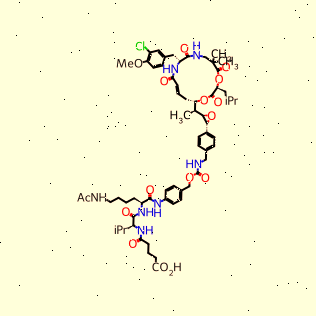 COc1ccc(C[C@H]2NC(=O)/C=C/C[C@@H]([C@H](C)[C@H]3O[C@@H]3c3ccc(CNC(=O)OCc4ccc(NC(=O)[C@H](CCCCNC(C)=O)NC(=O)[C@@H](NC(=O)CCCC(=O)O)C(C)C)cc4)cc3)OC(=O)[C@H](CC(C)C)OC(=O)C(C)(C)CNC2=O)cc1Cl